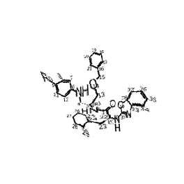 O=C(N[C@H](CNc1ccc(F)cc1)COCc1ccccc1)[C@H](CC1CCCCC1)Nc1nc2ccccc2o1